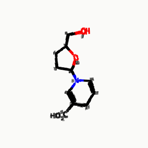 O=C(O)C1=CN(C2CCC(CO)O2)C=CC1